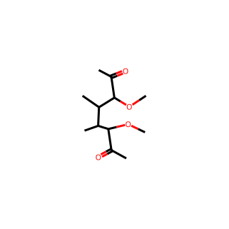 COC(C(C)=O)C(C)C(C)C(OC)C(C)=O